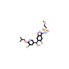 COCCS(=O)(=O)Nc1noc2cc(C(O)c3cnc(OCC(C)C)c(Cl)c3)c(Cl)cc12